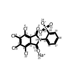 O=C1c2c(Cl)c(Cl)c(Cl)c(Cl)c2C(=O)N1c1ccccc1S(=O)(=O)[O-].[Na+]